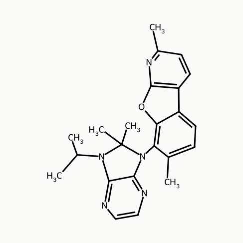 Cc1ccc2c(n1)oc1c(N3c4nccnc4N(C(C)C)C3(C)C)c(C)ccc12